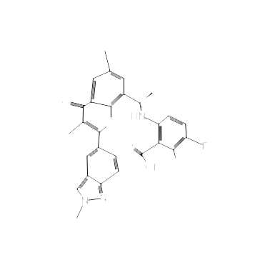 Cc1cc([C@@H](C)Nc2ccc(F)c(F)c2C(=O)O)c2oc(-c3ccc4nn(C)cc4c3)c(C)c(=O)c2c1